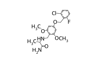 COc1cc(OCc2c(F)cccc2Cl)cc(OC)c1CNC(C)C(N)=O